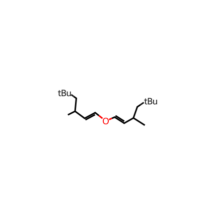 CC(/C=C/O/C=C/C(C)CC(C)(C)C)CC(C)(C)C